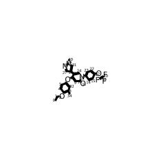 CCOc1ccc(Oc2cc(=O)n(-c3ccc(OC(F)(F)F)cc3)cc2-c2cnn(C)c2)cc1C